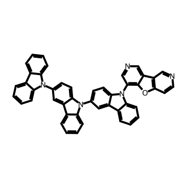 c1ccc2c(c1)c1ccccc1n2-c1ccc2c(c1)c1ccccc1n2-c1ccc2c(c1)c1ccccc1n2-c1cncc2c1oc1ccncc12